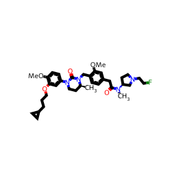 COc1cc(CC(=O)N(C)[C@H]2CCN(CCF)C2)ccc1CN1C(=O)N(c2ccc(OC)c(OCCCC3CC3)c2)CC[C@@H]1C